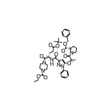 CCOC(=O)N1CCN(C(=O)[C@H](CCC(=O)OC(C)(C)C)NC(=O)c2cc(O[C@H](C)C(=O)N3CCC[C@H]3C(=O)OCc3ccccc3)n(-c3ccccc3)n2)CC1